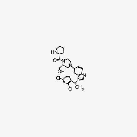 C[C@H](c1ccc(Cl)cc1Cl)n1cnc2ccc(N3CCN(C(=O)[C@H]4CCCCN4)[C@H](CO)C3)cc21